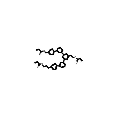 C=CC(=O)OCCCc1ccc(-c2cccc(-c3cc(CCOC(=O)C=C)cc(-c4cccc(-c5ccc(COC(=O)C=C)cc5)c4)c3)c2)cc1